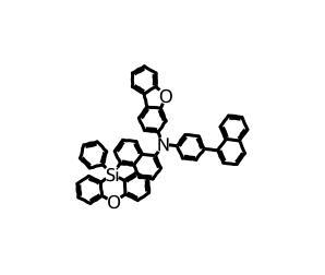 c1ccc([Si]2(c3cccc4c(N(c5ccc(-c6cccc7ccccc67)cc5)c5ccc6c(c5)oc5ccccc56)cccc34)c3ccccc3Oc3ccccc32)cc1